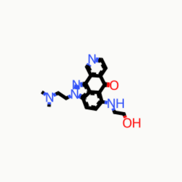 CN(C)CCn1nc2c3c(c(NCCO)ccc31)C(=O)c1ccncc1-2